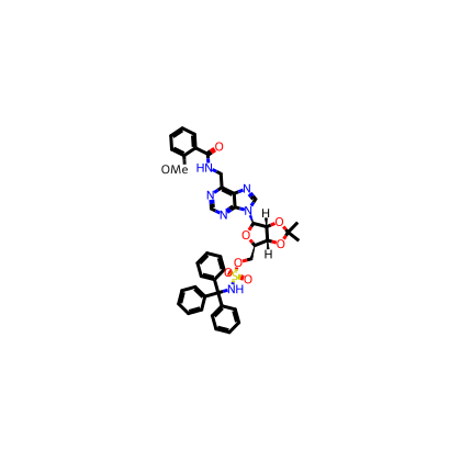 COc1ccccc1C(=O)NCc1ncnc2c1ncn2[C@@H]1O[C@H](COS(=O)(=O)NC(c2ccccc2)(c2ccccc2)c2ccccc2)[C@H]2OC(C)(C)O[C@H]21